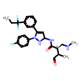 CCC(F)(F)c1cccc(C2=CC(NC(=O)[C@@H](CNC)C(C)C=O)NN2c2ccc(F)cc2)c1